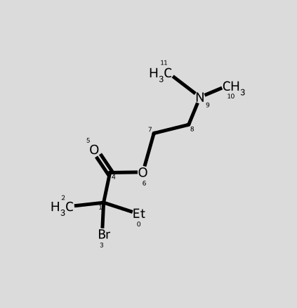 CCC(C)(Br)C(=O)OCCN(C)C